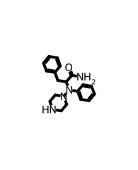 NC(=O)C(Cc1ccccc1)N(c1ccccc1)N1CCNCC1